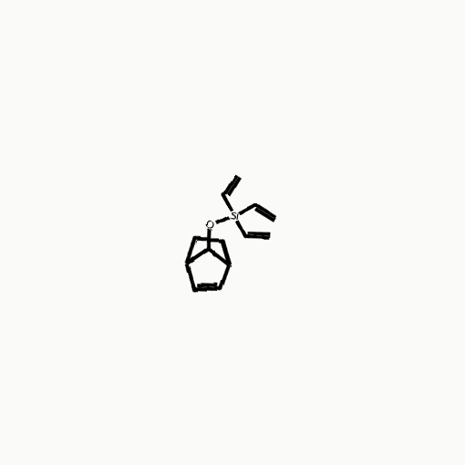 C=C[Si](C=C)(C=C)OC1C2C=CC1CC2